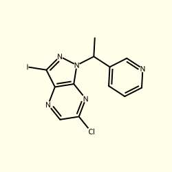 CC(c1cccnc1)n1nc(I)c2ncc(Cl)nc21